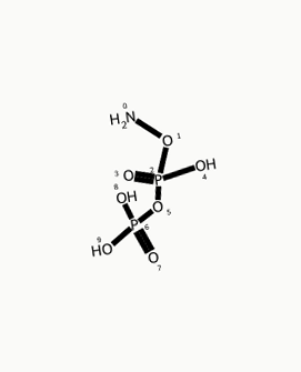 NOP(=O)(O)OP(=O)(O)O